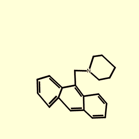 c1ccc2c(CN3CCCCC3)c3ccccc3cc2c1